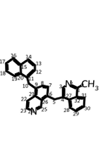 Cc1ncc(Cc2ccc(Cc3cccc4ccccc34)c3ccncc23)c2ccccc12